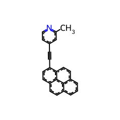 Cc1cc(C#Cc2ccc3ccc4cccc5ccc2c3c45)ccn1